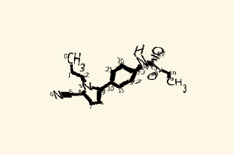 CCCn1c(C#N)ccc1-c1ccc(NS(=O)(=O)CC)cc1